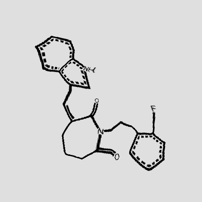 O=C1CCC/C(=C/c2c[nH]c3ccccc23)C(=O)N1Cc1ccccc1F